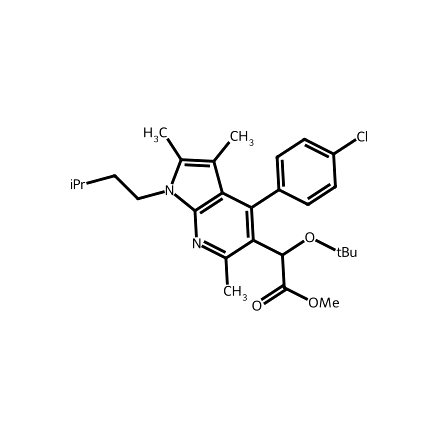 COC(=O)C(OC(C)(C)C)c1c(C)nc2c(c(C)c(C)n2CCC(C)C)c1-c1ccc(Cl)cc1